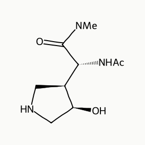 CNC(=O)[C@H](NC(C)=O)[C@@H]1CNC[C@@H]1O